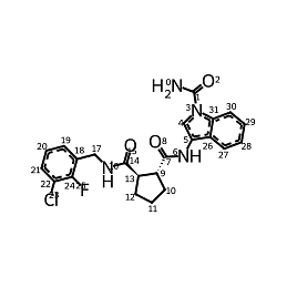 NC(=O)n1cc(NC(=O)[C@@H]2CCC[C@H]2C(=O)NCc2cccc(Cl)c2F)c2ccccc21